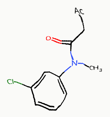 CC(=O)CC(=O)N(C)c1cccc(Cl)c1